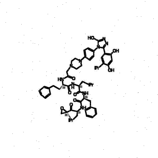 CC(C)C[C@H](NC(=O)[C@H](CCc1ccccc1)NC(=O)CN1CCN(c2ccc(-n3c(O)nnc3-c3cc(C(C)C)c(O)cc3O)cc2)CC1)C(=O)N[C@@H](Cc1ccccc1)C(=O)N[C@@H](CC(C)C)C(=O)[C@@]1(C)CO1